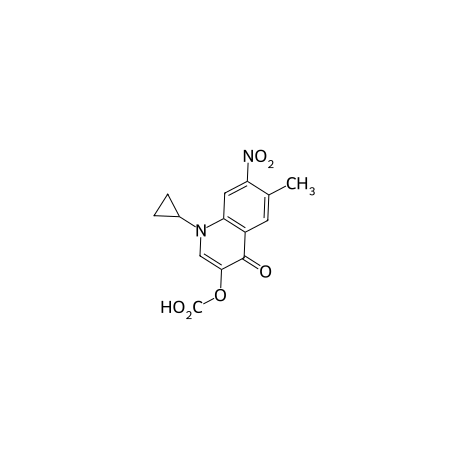 Cc1cc2c(=O)c(OC(=O)O)cn(C3CC3)c2cc1[N+](=O)[O-]